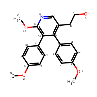 COc1ccc(-c2c(CCO)[c]nc(OC)c2-c2ccc(OC)cc2)cc1